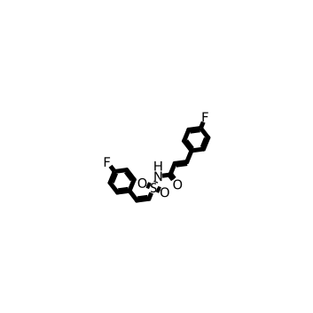 O=C(/C=C/c1ccc(F)cc1)NS(=O)(=O)/C=C\c1ccc(F)cc1